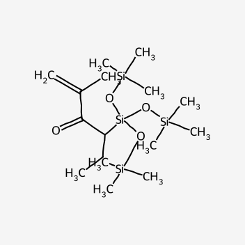 C=C(C)C(=O)C(CC)[Si](O[Si](C)(C)C)(O[Si](C)(C)C)O[Si](C)(C)C